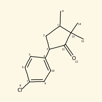 CC1CC(c2ccc(Cl)cc2)C(=O)C1(C)C